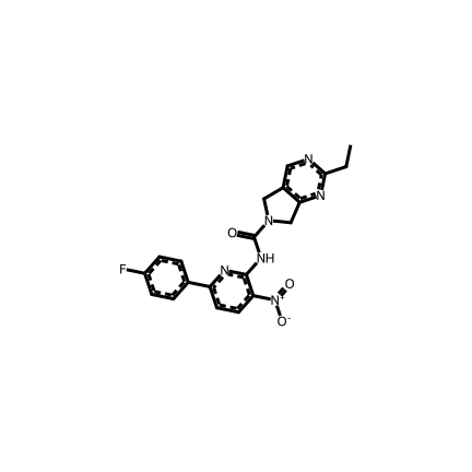 CCc1ncc2c(n1)CN(C(=O)Nc1nc(-c3ccc(F)cc3)ccc1[N+](=O)[O-])C2